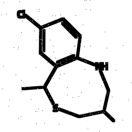 CC1CNc2ccc(Cl)cc2C(C)SC1